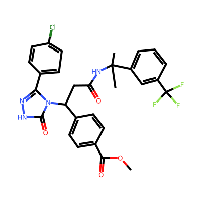 COC(=O)c1ccc(C(CC(=O)NC(C)(C)c2cccc(C(F)(F)F)c2)n2c(-c3ccc(Cl)cc3)n[nH]c2=O)cc1